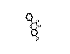 COc1ccc2c(c1)NC(=O)C(c1ccccc1)O2